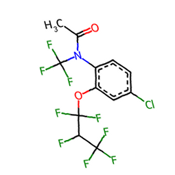 CC(=O)N(c1ccc(Cl)cc1OC(F)(F)C(F)C(F)(F)F)C(F)(F)F